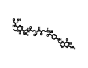 CC[C@H](NC(=O)[C@@H](N)CNC(=O)CC[C@@H](C=O)NC(=O)CC[C@@H](C)NC(=O)c1ccc(NCc2cnc3nc(N)[nH]c(=O)c3n2)cc1)C(=O)N[C@H](C=O)CS